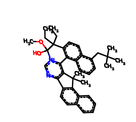 CCC1(CC)c2ccc3c(CC(C)(C)C)cccc3c2-c2c3c(nc[n+]2C1(O)OC)-c1ccc2ccccc2c1C3(C)C